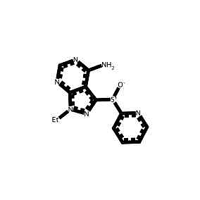 CCn1nc([S+]([O-])c2ccccn2)c2c(N)ncnc21